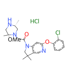 CO[C@]1(C)CN[C@H](C)CN1CC(=O)N1CC(C)(C)c2cnc(Oc3ccccc3Cl)cc21.Cl